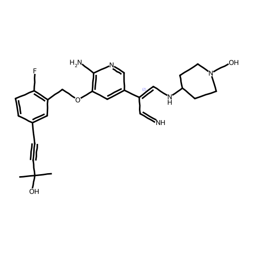 CC(C)(O)C#Cc1ccc(F)c(COc2cc(/C(C=N)=C/NC3CCN(O)CC3)cnc2N)c1